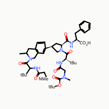 CNCC(=O)NC(C(=O)N1Cc2cc([C@H]3C[C@@H](C(=O)N[C@@H](Cc4ccccc4)C(=O)O)N(C(=O)[C@@H](NC(=O)CN(C)C(=O)OC(C)(C)C)C(C)(C)C)C3)ccc2CC1C)C(C)(C)C